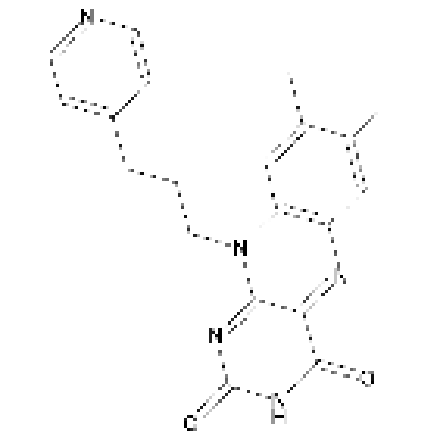 Cc1cc2nc3c(=O)[nH]c(=O)nc-3n(CCCc3ccncc3)c2cc1C